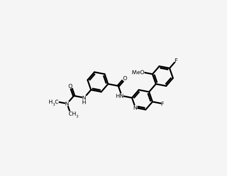 COc1cc(F)ccc1-c1cc(NC(=O)c2cccc(NC(=O)N(C)C)c2)ncc1F